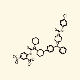 O=[N+]([O-])c1ccc(SC(=S)N(C2CCCCC2)C2CCCC(c3ccc(C(c4ccccc4)N4CCN(C(=S)Sc5ccc(Cl)cc5)CC4)cc3)C2)c([N+](=O)[O-])c1